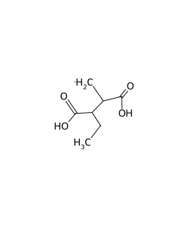 [CH2]C(C(=O)O)C(CC)C(=O)O